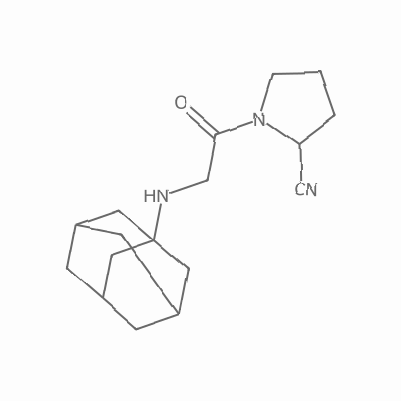 N#CC1CCCN1C(=O)CNC12CC3CC(CC(C3)C1)C2